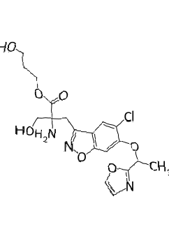 CC(Oc1cc2onc(CC(N)(CO)C(=O)OCCCO)c2cc1Cl)c1ncco1